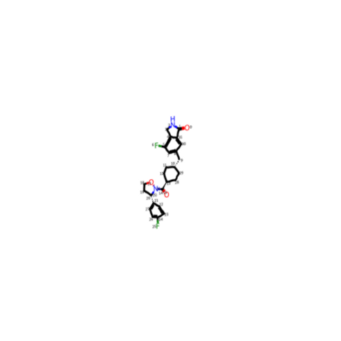 O=C1NCc2c(F)cc(C[C@H]3CC[C@H](C(=O)N4OCC[C@H]4c4ccc(F)cc4)CC3)cc21